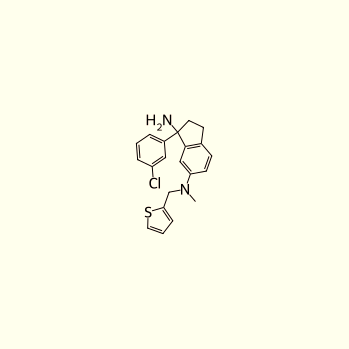 CN(Cc1cccs1)c1ccc2c(c1)C(N)(c1cccc(Cl)c1)CC2